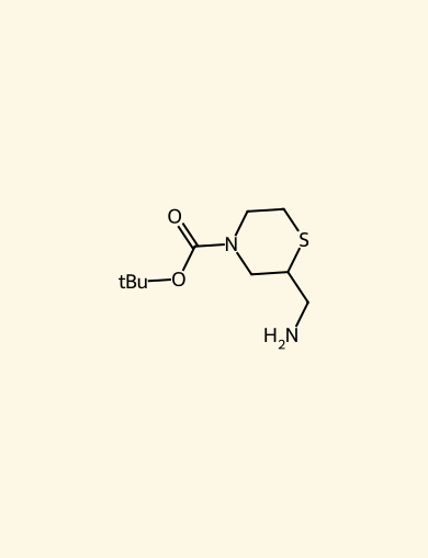 CC(C)(C)OC(=O)N1CCSC(CN)C1